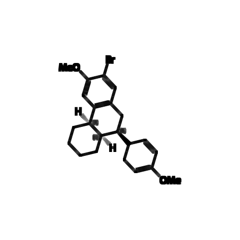 COC1=CCC([C@@H]2Cc3cc(Br)c(OC)cc3[C@@H]3CCCC[C@@H]32)C=C1